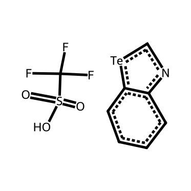 O=S(=O)(O)C(F)(F)F.c1ccc2[te]cnc2c1